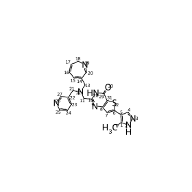 Cc1[nH]ncc1-c1cc2nc(CN(CC3=CC=CCN=C3)Cc3cccnc3)[nH]c(=O)c2s1